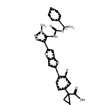 C[C@@H](OC(=O)Nc1c(-c2cc3sc(-c4ccc(C5(C(=O)O)CC5)cc4F)cc3s2)nnn1C)c1ccccc1